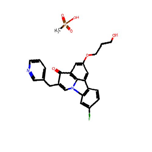 CS(=O)(=O)O.O=c1c(Cc2cccnc2)cn2c3cc(F)ccc3c3cc(OCCCO)cc1c32